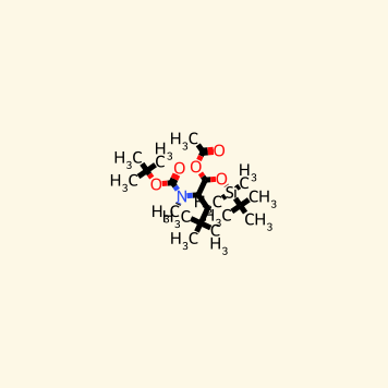 CC(=O)OC(O[Si](C)(C)C(C)(C)C)C(CC(C)(C)C)N(C)C(=O)OC(C)(C)C